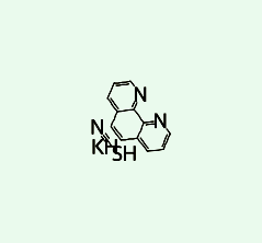 N#CS.[KH].c1cnc2c(c1)ccc1cccnc12